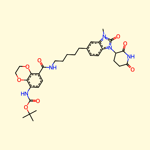 Cn1c(=O)n(C2CCC(=O)NC2=O)c2ccc(CCCCCNC(=O)c3ccc(NC(=O)OC(C)(C)C)c4c3OCCO4)cc21